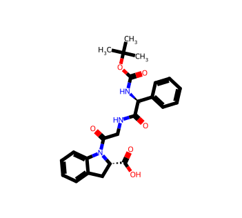 CC(C)(C)OC(=O)N[C@H](C(=O)NCC(=O)N1c2ccccc2C[C@H]1C(=O)O)c1ccccc1